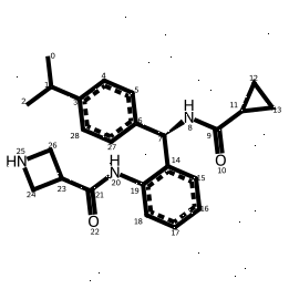 CC(C)c1ccc([C@@H](NC(=O)C2CC2)c2ccccc2NC(=O)C2CNC2)cc1